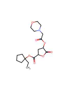 CCC1(OC(=O)C2CC(OC(=O)CN3CCOCC3)C(=O)O2)CCCC1